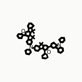 CC1(C)c2cc(N(c3ccccc3)c3ccc4c(c3)C(C)(C)c3c5c(c6oc7ccccc7c6c3-4)-c3ccccc3C5(C)C)ccc2-c2c1cc(-c1ccc3c(c1)c1ccccc1n3-c1ccccc1)c1c2C2=CC=CCC2O1